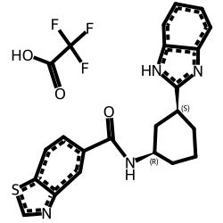 O=C(N[C@@H]1CCC[C@H](c2nc3ccccc3[nH]2)C1)c1ccc2scnc2c1.O=C(O)C(F)(F)F